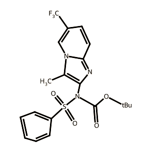 Cc1c(N(C(=O)OC(C)(C)C)S(=O)(=O)c2ccccc2)nc2ccc(C(F)(F)F)cn12